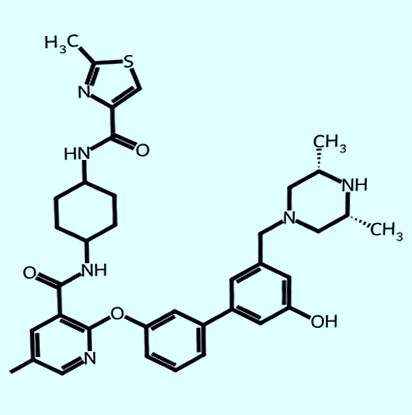 Cc1nc(C(=O)NC2CCC(NC(=O)c3cc(F)cnc3Oc3cccc(-c4cc(O)cc(CN5C[C@@H](C)N[C@@H](C)C5)c4)c3)CC2)cs1